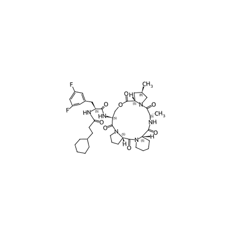 C[C@@H]1C[C@H]2C(=O)OC[C@H](NC(=O)[C@H](Cc3cc(F)cc(F)c3)NC(=O)CCC3CCCCC3)C(=O)N3CCC[C@H]3C(=O)N3CCCC[C@H]3C(=O)N[C@@H](C)C(=O)N2C1